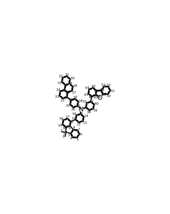 CC1(C)c2ccccc2-c2c(-c3cccc(N(c4ccc(-c5cccc6c5ccc5ccccc56)cc4)c4cccc(-c5cccc6c5oc5ccccc56)c4)c3)cccc21